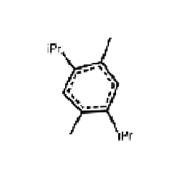 Cc1cc(C(C)C)c(C)cc1C(C)C